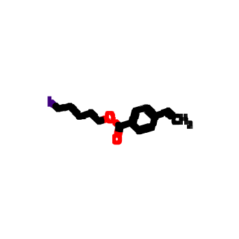 C=Cc1ccc(C(=O)OCCCCCI)cc1